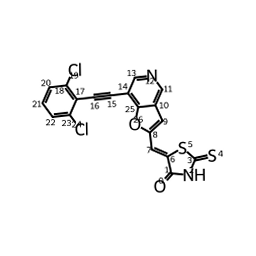 O=C1NC(=S)S/C1=C\c1cc2cncc(C#Cc3c(Cl)cccc3Cl)c2o1